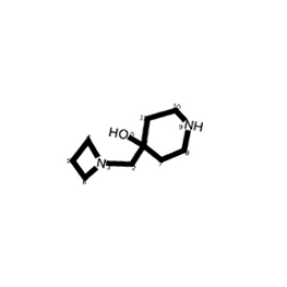 OC1(CN2CCC2)CCNCC1